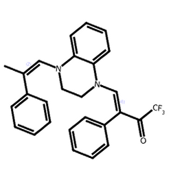 C/C(=C/N1CCN(/C=C(/C(=O)C(F)(F)F)c2ccccc2)c2ccccc21)c1ccccc1